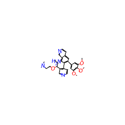 CCC(OCCN(C)C)c1cnccc1-c1c(-c2cc(OC)c(OC)c(OC)c2)cc2ccncc2c1N